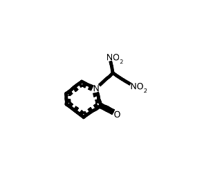 O=c1ccccn1C([N+](=O)[O-])[N+](=O)[O-]